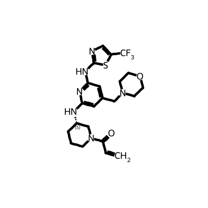 C=CC(=O)N1CCC[C@H](Nc2cc(CN3CCOCC3)cc(Nc3ncc(C(F)(F)F)s3)n2)C1